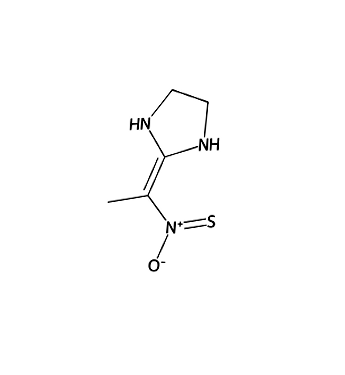 CC(=C1NCCN1)[N+]([O-])=S